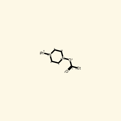 CCC(=O)ON1CCN(C(C)C)CC1